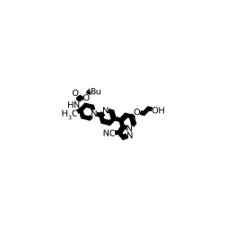 CC1(NC(=O)OC(C)(C)C)CCN(c2ccc(-c3cc(OCCO)cn4ncc(C#N)c34)cn2)CC1